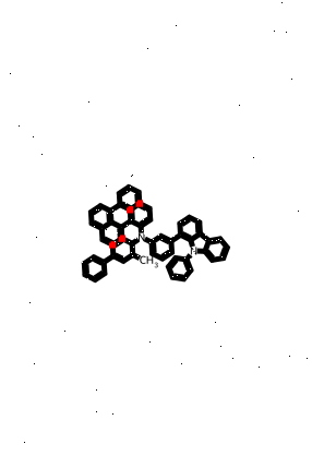 CC1C=C(c2ccccc2)C=CC1N(c1cccc(-c2cccc3c4ccccc4n(-c4ccccc4)c23)c1)c1ccccc1-c1cccc2cccc(-c3ccccc3)c12